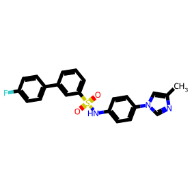 Cc1cn(-c2ccc(NS(=O)(=O)c3cccc(-c4ccc(F)cc4)c3)cc2)cn1